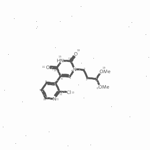 COC(CCn1cc(-c2cccnc2Cl)c(=O)[nH]c1=O)OC